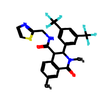 Cc1ccc2c(c1)C(=O)N(C)C(c1cc(C(F)(F)F)cc(C(F)(F)F)c1)C2C(=O)NCc1nccs1